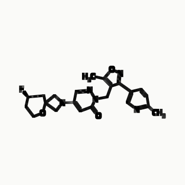 Cc1ccc(-c2noc(C)c2Cn2ncc(N3CC4(C[C@H](F)CCO4)C3)cc2=O)cn1